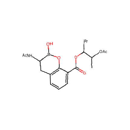 CC(=O)NC1Cc2cccc(C(=O)OC(C(C)C)C(C)OC(C)=O)c2OB1O